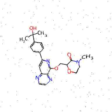 CN1CCOC(COc2nc(-c3ccc(C(C)(C)O)cc3)cc3nccnc23)C1=O